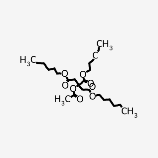 CCCCCCOC(=O)CC(CC(=O)OCCCCCC)(OC(C)=O)C(=O)OCCCCCC